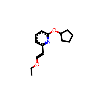 CCO/C=C/c1cccc(OC2CCCC2)n1